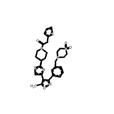 Cc1onc(-c2cccc(CN3CCS(=O)(=O)CC3)c2)c1-c1csc(C2CCN(C(=O)Cc3cccs3)CC2)n1